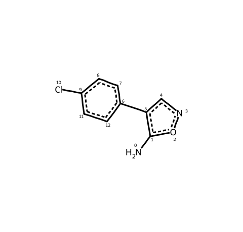 Nc1oncc1-c1ccc(Cl)cc1